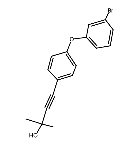 CC(C)(O)C#Cc1ccc(Oc2cccc(Br)c2)cc1